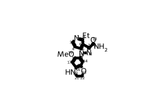 CCc1nccc2c1c(C(N)=O)nn2-c1cc2c(cc1OC)NCCO2